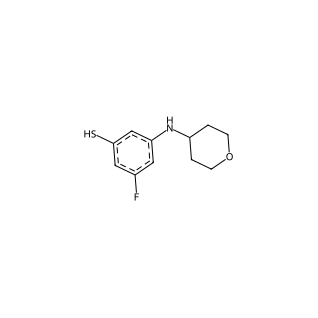 Fc1cc(S)cc(NC2CCOCC2)c1